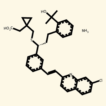 CC(C)(O)c1ccccc1CC[C@@H](SCC1(CC(=O)O)CC1)c1cccc(/C=C/c2ccc3ccc(Cl)cc3n2)c1.N